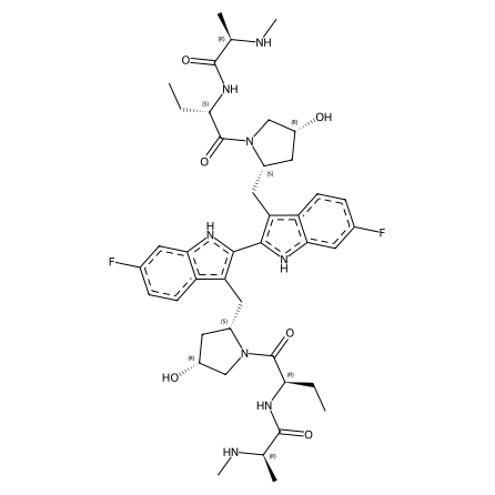 CC[C@H](NC(=O)[C@@H](C)NC)C(=O)N1C[C@H](O)C[C@@H]1Cc1c(-c2[nH]c3cc(F)ccc3c2C[C@H]2C[C@@H](O)CN2C(=O)[C@@H](CC)NC(=O)[C@@H](C)NC)[nH]c2cc(F)ccc12